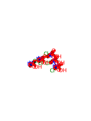 COc1ccc2c(c1)c(CC(=O)O)c(C)n2-c1cc(Cl)c2ccccc2n1.COc1ccc2c(c1)c(CC(=O)O)c(C)n2-c1ccc2cc(Cl)ccc2n1.COc1ccc2c(c1)c(CC(=O)O)c(C)n2-c1ncnc2c(Cl)cc(Cl)cc12.COc1ccc2c(c1)c(CC(=O)O)c(C)n2-c1ncnc2cc(Cl)ccc12.Cc1ccc2c(c1)c(CC(=O)O)c(C)n2-c1ncnc2ccccc12